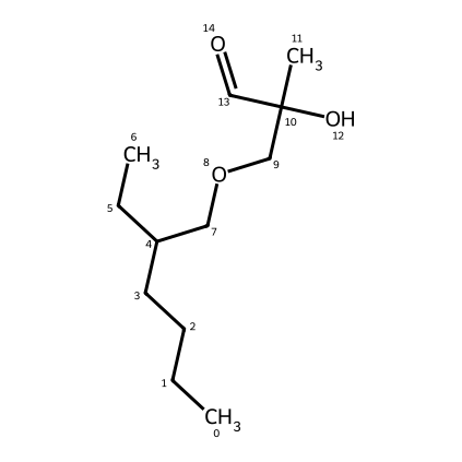 CCCCC(CC)COCC(C)(O)C=O